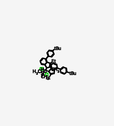 CCC1=Cc2c(-c3ccc(C(C)(C)C)cc3)cccc2[CH]1[Zr]([Cl])([Cl])([CH]1C(C)=C(CC)c2c(-c3ccc(C(C)(C)C)cc3)cccc21)[SiH](C)C